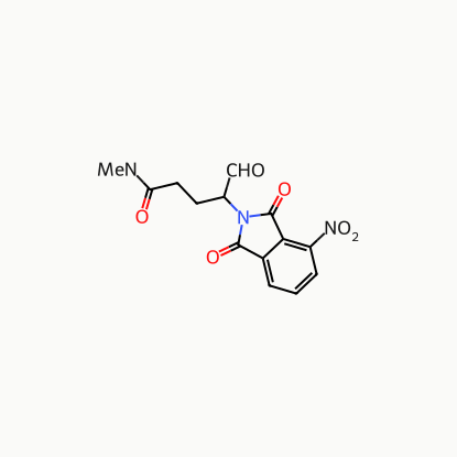 CNC(=O)CCC(C=O)N1C(=O)c2cccc([N+](=O)[O-])c2C1=O